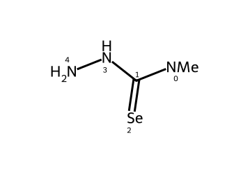 CNC(=[Se])NN